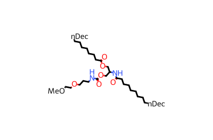 CCCCCCCCCCCCCCCCCCC(=O)NC(COC(=O)CCCCCCCCCCCCCCCCC)COC(=O)NCCCOCCOC